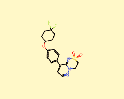 O=S1(=O)CCN2N=CC=C(c3ccc(OC4CCC(F)(F)CC4)cc3)C2=N1